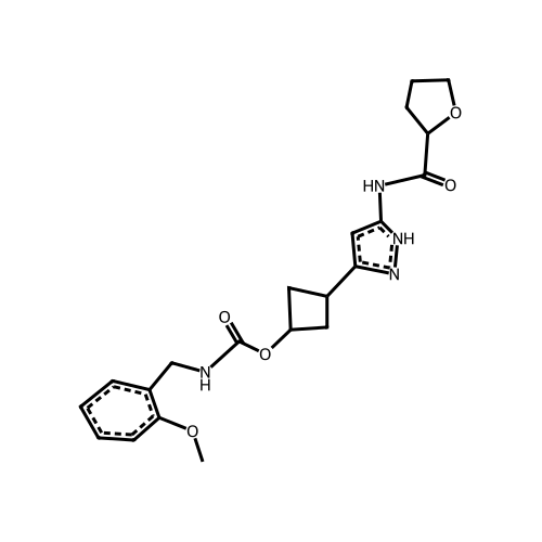 COc1ccccc1CNC(=O)OC1CC(c2cc(NC(=O)C3CCCO3)[nH]n2)C1